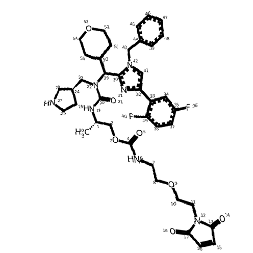 C[C@@H](COC(=O)NCCOCCN1C(=O)C=CC1=O)NC(=O)N(C[C@H]1CCNC1)C(c1nc(-c2cc(F)ccc2F)cn1Cc1ccccc1)C1CCOCC1